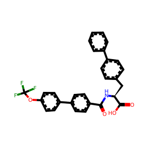 O=C(N[C@@H](Cc1ccc(-c2ccccc2)cc1)C(=O)O)c1ccc(-c2ccc(OC(F)(F)F)cc2)cc1